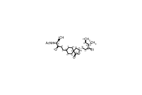 C#C[C@H](NC(C)=O)C(=O)CCC1CCC2(CC1)C[C@H](CCN(CC)[C@@H](C)C=C)OC2=O